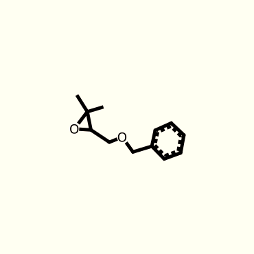 CC1(C)OC1COCc1ccccc1